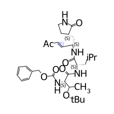 CC(=O)/C=C/[C@H](C[C@@H]1CCNC1=O)NC(=O)[C@H](CC(C)C)NC(=O)[C@@H](NC(=O)OCc1ccccc1)C(C)OC(C)(C)C